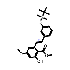 COC(=O)c1c(O)cc(OC)cc1/C=C/c1cccc(O[Si](C)(C)C(C)(C)C)c1